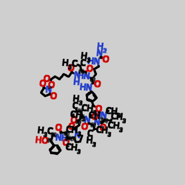 CC[C@H](C)[C@@H]([C@@H](CC(=O)N1CCC[C@H]1[C@H](OC)[C@@H](C)C(=O)N[C@H](C)[C@@H](O)c1ccccc1)OC)N(C)C(=O)[C@@H](NC(=O)[C@H](C(C)C)N(C)C(=O)OCc1ccc(NC(=O)[C@H](CCCNC(N)=O)NC(=O)[C@@H](NC(=O)CCCCC(=O)ON2C(=O)CCC2=O)C(C)C)cc1)C(C)C